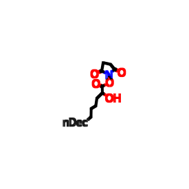 CCCCCCCCCCCCCCC(O)C(=O)ON1C(=O)CCC1=O